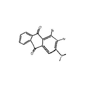 CN(C)c1cc2c(c(Br)c1Br)C(=O)c1ccccc1C2=O